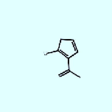 [Li][C]1=C(C(=C)C)C=CC1